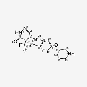 O=c1[nH]ncc(N2Cc3ccc(O[C@H]4CCCNC4)cc3C2)c1C(F)(F)F